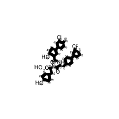 O=C(N[C@@H](Cc1ccc(-c2cccc(C(F)(F)F)c2)cc1)C(=O)NC(Cc1ccc(O)cc1)C(=O)O)c1cc(-c2ccc(F)c(Cl)c2)ccc1O